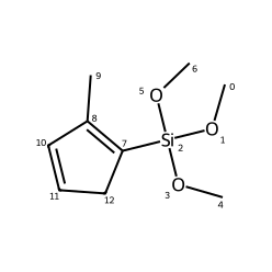 CO[Si](OC)(OC)C1=C(C)C=CC1